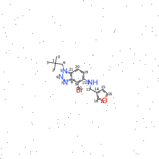 CC(C)(C)Cn1nnc2c(Br)c(NCc3ccoc3)ccc21